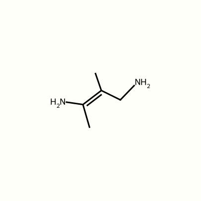 CC(N)=C(C)CN